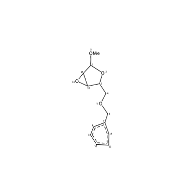 COC1OC(COCc2ccccc2)C2OC12